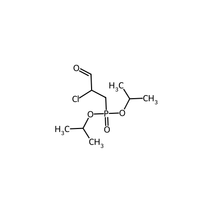 CC(C)OP(=O)(CC(Cl)C=O)OC(C)C